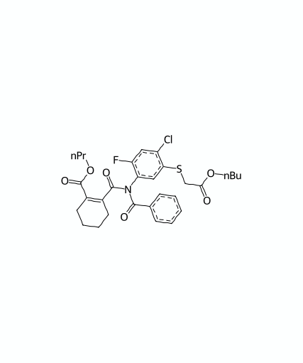 CCCCOC(=O)CSc1cc(N(C(=O)C2=C(C(=O)OCCC)CCCC2)C(=O)c2ccccc2)c(F)cc1Cl